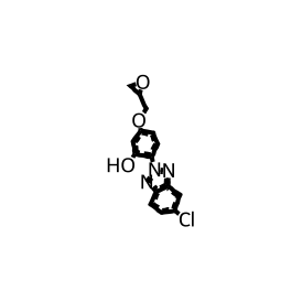 Oc1cc(OCC2CO2)ccc1-n1nc2ccc(Cl)cc2n1